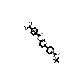 COC(=O)C12CCC(C(=O)Nc3ccc(C4=CCN(C(=O)OC(C)(C)C)CC4)nn3)(CC1)CC2